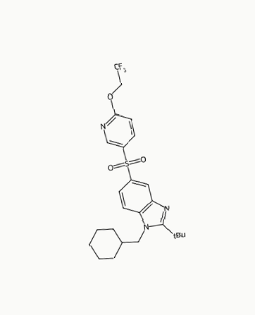 CC(C)(C)c1nc2cc(S(=O)(=O)c3ccc(OCC(F)(F)F)nc3)ccc2n1CC1CCCCC1